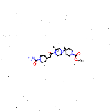 C[C@H]1CN(C2(C)CCN(C(=O)OC(C)(C)C)CC2)CCN1C(=O)CC1CCN(C(N)=O)CC1